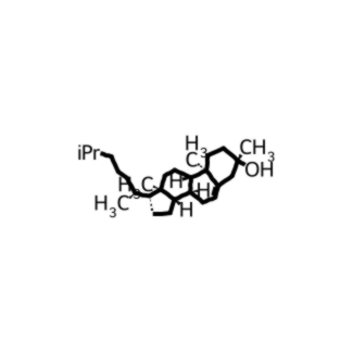 CC(C)CCC[C@@H](C)[C@H]1CC[C@H]2[C@@H]3CC=C4C[C@@](C)(O)CC[C@]4(C)[C@H]3CC[C@]12C